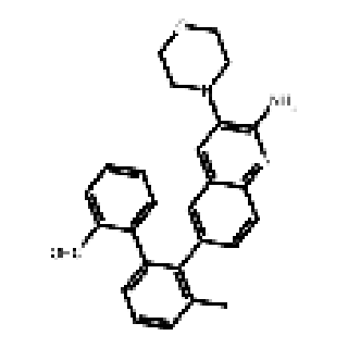 Cc1cccc(-c2ccccc2C=O)c1-c1ccc2nc(N)c(N3CCOCC3)cc2c1